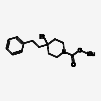 CCC1(CCc2ccccc2)CCN(C(=O)OC(C)(C)C)CC1